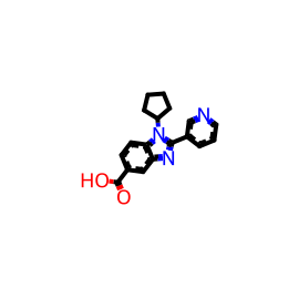 O=C(O)c1ccc2c(c1)nc(-c1cccnc1)n2C1CCCC1